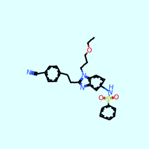 CCOCCCn1c(CCc2ccc(C#N)cc2)nc2cc(NS(=O)(=O)c3ccccc3)ccc21